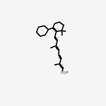 CC(/C=C/C1=C(C2CCCCC2)CCCC1(C)C)=C\C=C\C(C)=C\C(=O)O